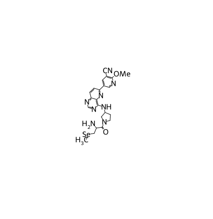 COc1ncc(-c2ccc3ncnc(NC4CCN(C(=O)C(N)C[Se]C)C4)c3n2)cc1C#N